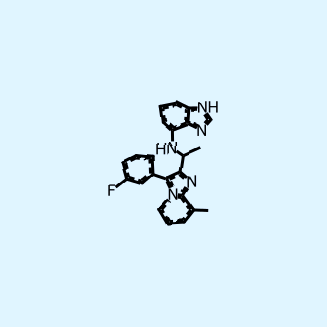 Cc1cccn2c(-c3cccc(F)c3)c(C(C)Nc3cccc4[nH]cnc34)nc12